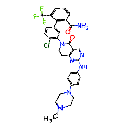 CN1CCN(c2ccc(Nc3ncc4c(n3)CCN(c3cc(-c5c(C(N)=O)cccc5C(F)(F)F)ccc3Cl)C4=O)cc2)CC1